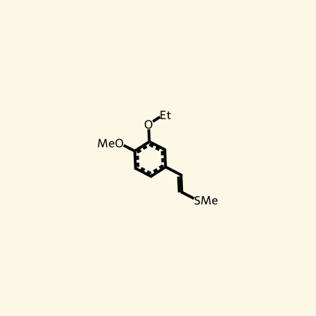 CCOc1cc(/C=C/SC)ccc1OC